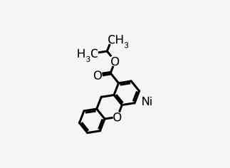 CC(C)OC(=O)c1cccc2c1Cc1ccccc1O2.[Ni]